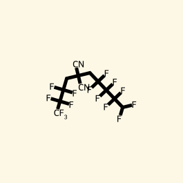 N#CC(C#N)(CC(F)(F)C(F)(F)C(F)(F)F)CC(F)(F)C(F)(F)C(F)(F)C(F)F